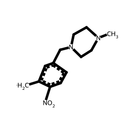 [CH2]c1cc(CN2CCN(C)CC2)ccc1[N+](=O)[O-]